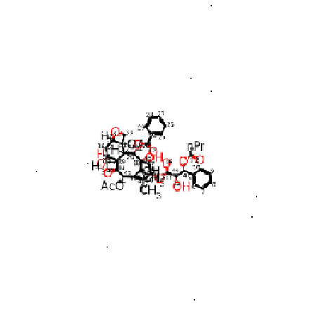 CCCC(=O)O[C@@H](c1ccccc1)[C@@H](O)C(=O)O[C@@H]1C[C@@]2(O)[C@H](OC(=O)c3ccccc3)[C@H]3[C@@]4(OC(C)=O)CO[C@@H]4C[C@H](O)[C@@]3(C)C(=O)[C@H](OC(C)=O)C(=C1C)C2(C)C